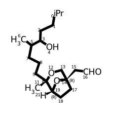 CC(C)CCC(O)C(C)CCC[C@]1(C)OC[C@]2(CC=O)CC[C@H]1O2